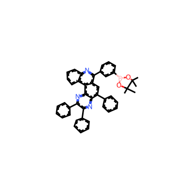 CC1(C)OB(c2cccc(-c3nc4ccccc4c4c3cc(-c3ccccc3)c3nc(-c5ccccc5)c(-c5ccccc5)nc34)c2)OC1(C)C